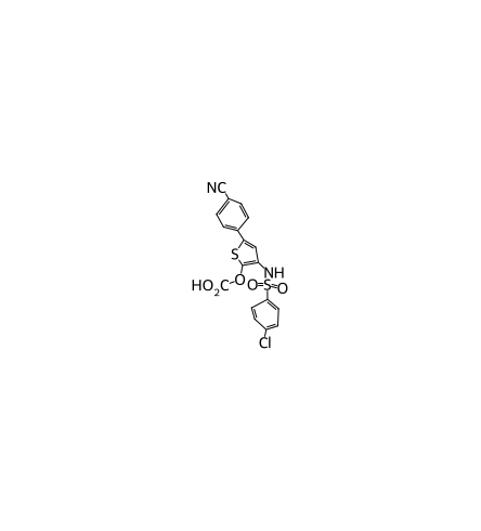 N#Cc1ccc(-c2cc(NS(=O)(=O)c3ccc(Cl)cc3)c(OC(=O)O)s2)cc1